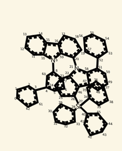 c1ccc(-c2cccc(-n3c4ccccc4c4cccc(-n5c6cccc([Si](c7ccccc7)(c7ccccc7)c7ccccc7)c6c6cccc(-c7ccccc7)c65)c43)c2)cc1